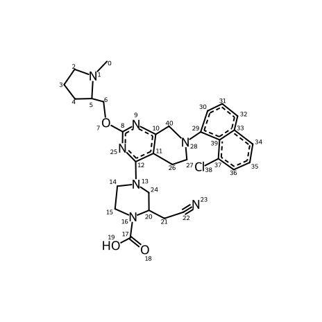 CN1CCCC1COc1nc2c(c(N3CCN(C(=O)O)C(CC#N)C3)n1)CCN(c1cccc3cccc(Cl)c13)C2